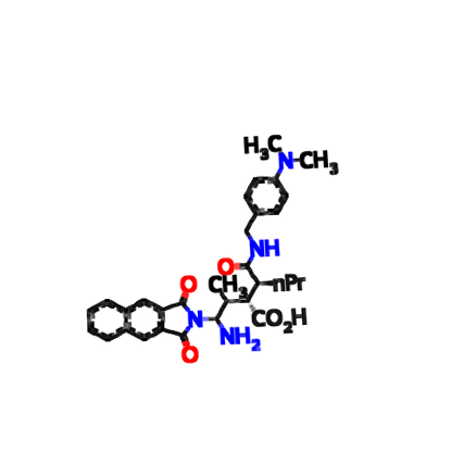 CCC[C@H](C(=O)NCc1ccc(N(C)C)cc1)[C@H](C(=O)O)C(C)C(N)N1C(=O)c2cc3ccccc3cc2C1=O